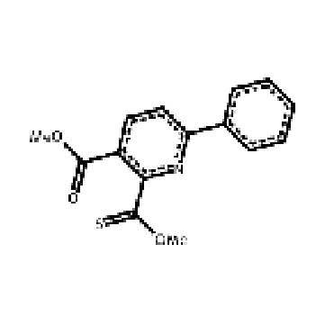 COC(=O)c1ccc(-c2ccccc2)nc1C(=S)OC